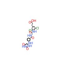 O=C(O)CCC1=CC(Cl)=CC(Cl)(NC(=O)CNC(=O)c2cccc(Nc3cc(=O)[nH]c(=O)[nH]3)c2)C1